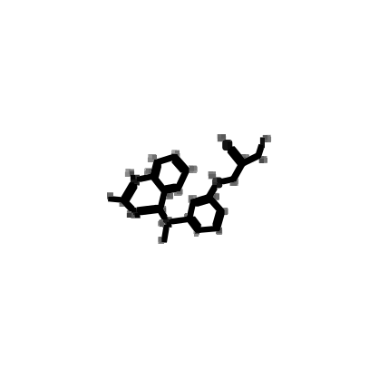 Cc1nc(N(C)c2cccc(OCC(=O)CI)c2)c2ccccc2n1